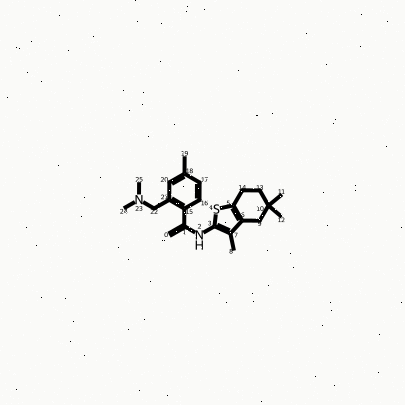 C=C(Nc1sc2c(c1C)CC(C)(C)CC2)c1ccc(C)cc1CN(C)C